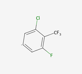 Fc1c[c]cc(Cl)c1C(F)(F)F